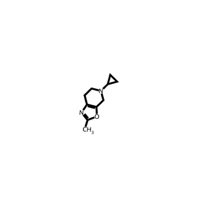 Cc1nc2c(o1)CN(C1CC1)CC2